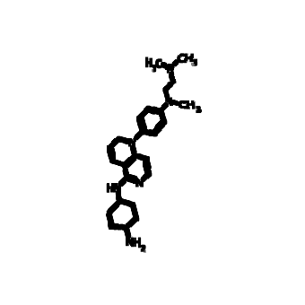 CN(C)CCN(C)c1ccc(N2CC=Cc3c2ccnc3NC2CCC(N)CC2)cc1